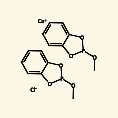 COP1Oc2ccccc2O1.COP1Oc2ccccc2O1.[Cl-].[Cu+]